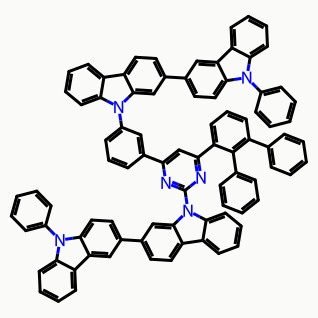 c1ccc(-c2cccc(-c3cc(-c4cccc(-n5c6ccccc6c6ccc(-c7ccc8c(c7)c7ccccc7n8-c7ccccc7)cc65)c4)nc(-n4c5ccccc5c5ccc(-c6ccc7c(c6)c6ccccc6n7-c6ccccc6)cc54)n3)c2-c2ccccc2)cc1